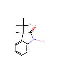 BN1C(=O)C(C)(C(C)(C)C)c2ccccc21